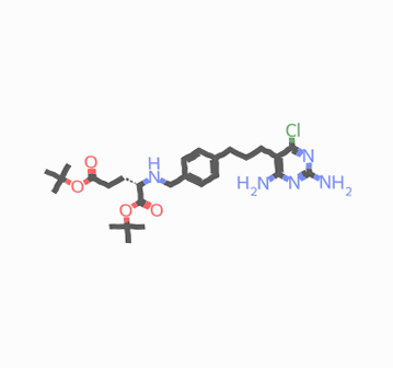 CC(C)(C)OC(=O)CC[C@H](NCc1ccc(CCCc2c(N)nc(N)nc2Cl)cc1)C(=O)OC(C)(C)C